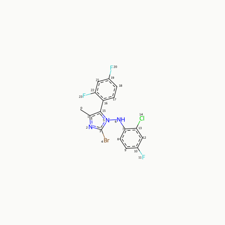 Cc1nc(Br)n(Nc2ccc(F)cc2Cl)c1-c1ccc(F)cc1F